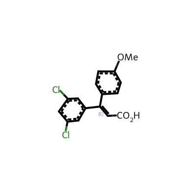 COc1ccc(/C(=C\C(=O)O)c2cc(Cl)cc(Cl)c2)cc1